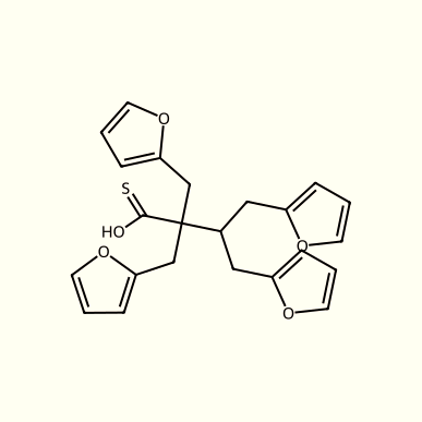 OC(=S)C(Cc1ccco1)(Cc1ccco1)C(Cc1ccco1)Cc1ccco1